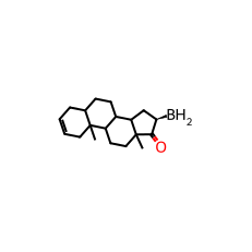 B[C@@H]1CC2C3CCC4CC=CCC4(C)C3CCC2(C)C1=O